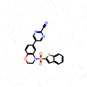 N#Cc1ncc(-c2ccc3c(c2)N(S(=O)(=O)c2cc4ccccc4s2)CCO3)cn1